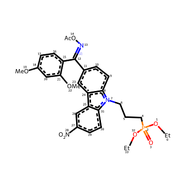 CCOP(=O)(CCCn1c2ccc(/C(=N/OC(C)=O)c3ccc(OC)cc3OC)cc2c2cc([N+](=O)[O-])ccc21)OCC